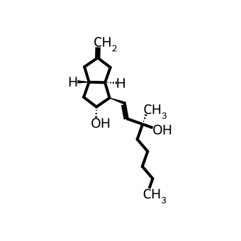 C=C1C[C@H]2C[C@@H](O)[C@H](/C=C/[C@@](C)(O)CCCCC)[C@@H]2C1